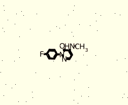 CNc1ccnn(-c2ccc(F)cc2)c1=O